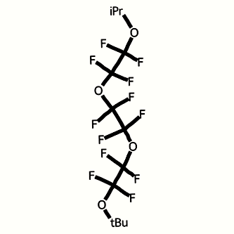 CC(C)OC(F)(F)C(F)(F)OC(F)(F)C(F)(F)OC(F)(F)C(F)(F)OC(C)(C)C